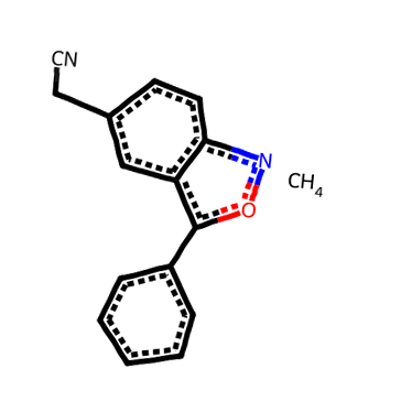 C.N#CCc1ccc2noc(-c3ccccc3)c2c1